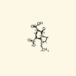 CCN1CCn2c1c([N+](=O)[O-])cc(C(=O)O)c2=O